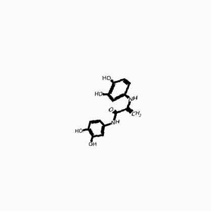 C=C(Nc1ccc(O)c(O)c1)C(=O)Nc1ccc(O)c(O)c1